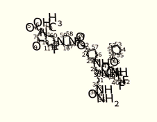 CCn1c(C(=O)O)cc(=O)c2cc(F)c(N3CCN(C(=O)OCc4ccc(NC[C@H](CCCNC(N)=O)NC[C@H](CC(F)(F)F)NC(=O)OCc5ccccc5)cc4)CC3)cc21